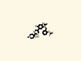 Cc1nc2cc(F)c(-c3cnc(C4(O)CCN(C)CC4)nc3)cc2n1Cc1ccccc1OC(F)F